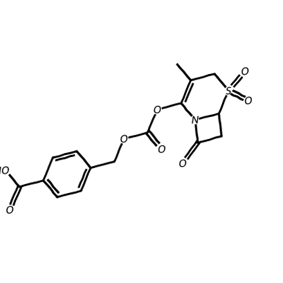 CC1=C(OC(=O)OCc2ccc(C(=O)O)cc2)N2C(=O)CC2S(=O)(=O)C1